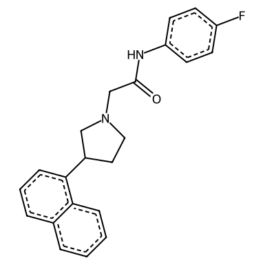 O=C(CN1CCC(c2cccc3ccccc23)C1)Nc1ccc(F)cc1